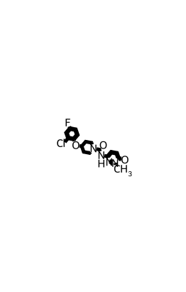 Cn1nc(NC(=O)N2CCC(Oc3ccc(F)cc3Cl)CC2)ccc1=O